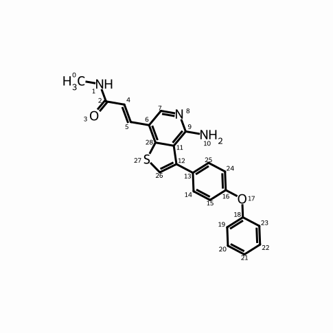 CNC(=O)C=Cc1cnc(N)c2c(-c3ccc(Oc4ccccc4)cc3)csc12